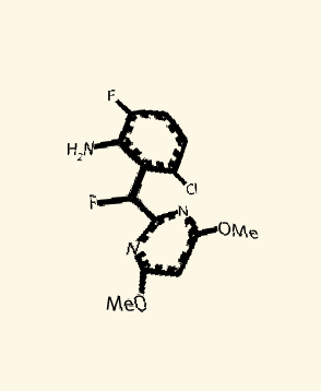 COc1cc(OC)nc(C(F)c2c(Cl)ccc(F)c2N)n1